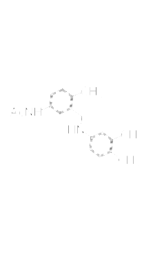 CC(=O)Nc1ccc(C)c(CNc2ccc(C)c(C)c2)c1